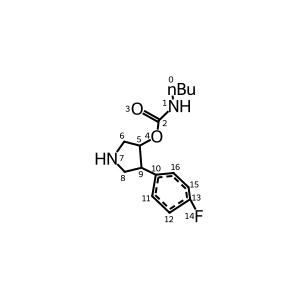 CCCCNC(=O)OC1CNCC1c1ccc(F)cc1